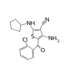 N#Cc1c(NC2CCCC2)sc(C(=O)c2ccccc2Cl)c1N